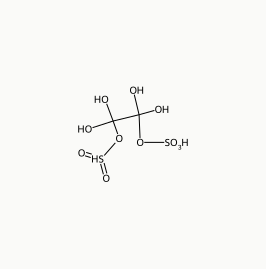 O=[SH](=O)OC(O)(O)C(O)(O)OS(=O)(=O)O